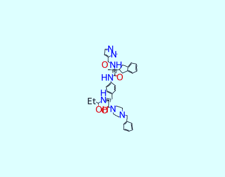 CCC(O)N[C@H](Cc1ccc(NC(=O)[C@](C)(NC(=O)c2ccnn2C)C2Cc3ccccc3C2)cc1)C(=O)N1CCN(Cc2ccccc2)CC1